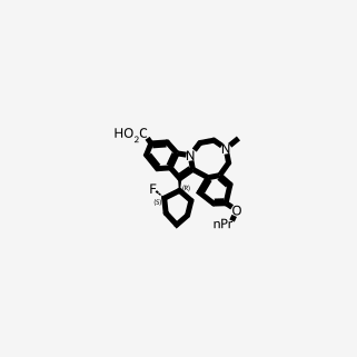 CCCOc1ccc2c(c1)CN(C)CCn1c-2c([C@H]2CCCC[C@@H]2F)c2ccc(C(=O)O)cc21